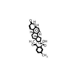 Cc1ccc(C(=O)[C@H]2CC[C@H]3[C@@H]4CC[C@H]5NC(=O)C=C[C@]5(C)[C@H]4CC[C@]23C)c(S(=O)(=O)O)c1